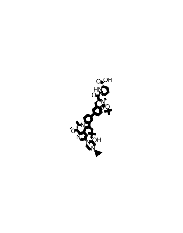 CCn1c(-c2cc(N3CCN(C4CC4)CC3)cnc2[C@H](C)OC)c(CC(C)(C)CO)c2cc(-c3cccc(C[C@@H](C(=O)N4CCC[C@@H](C(=O)O)N4)N(C)C(=O)OC(C)(C)C)c3)ccc21